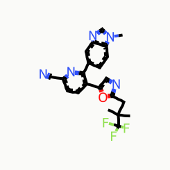 Cn1cnc2cc(-c3nc(C#N)ccc3-c3cnc(CC(C)(C)C(F)(F)F)o3)ccc21